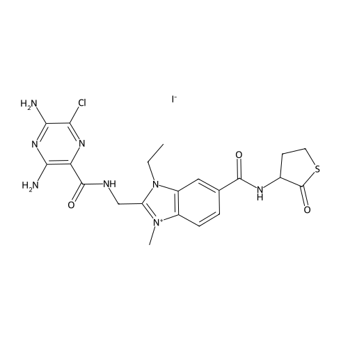 CCn1c(CNC(=O)c2nc(Cl)c(N)nc2N)[n+](C)c2ccc(C(=O)NC3CCSC3=O)cc21.[I-]